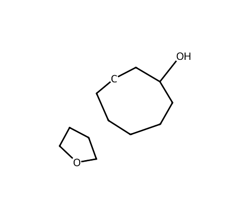 C1CCOC1.OC1CCCCCCC1